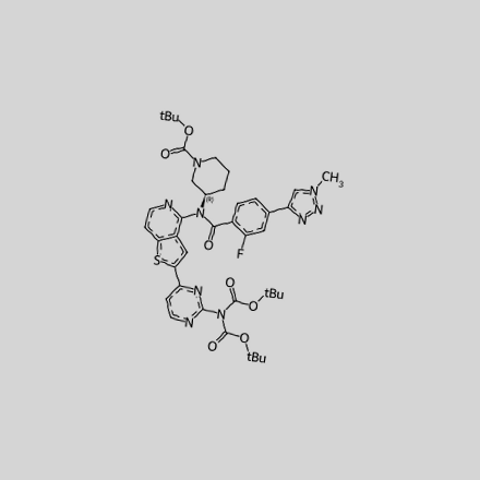 Cn1cc(-c2ccc(C(=O)N(c3nccc4sc(-c5ccnc(N(C(=O)OC(C)(C)C)C(=O)OC(C)(C)C)n5)cc34)[C@@H]3CCCN(C(=O)OC(C)(C)C)C3)c(F)c2)nn1